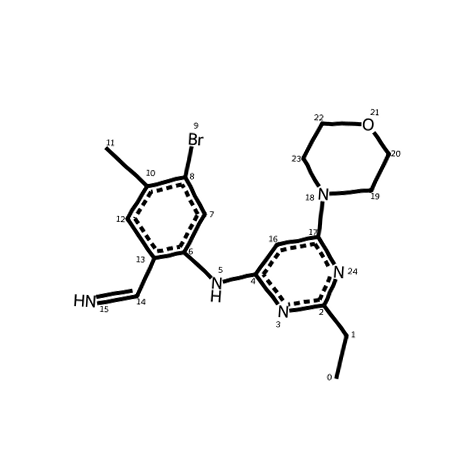 CCc1nc(Nc2cc(Br)c(C)cc2C=N)cc(N2CCOCC2)n1